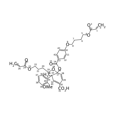 C=CC(=O)OCCCCOc1ccc(C(=O)OC2(OCCCCOC(=O)C=C)C=CC(C(=O)O)=CC2(C)c2ccccc2OC)cc1